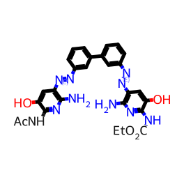 CCOC(=O)Nc1nc(N)c(/N=N/c2cccc(-c3cccc(/N=N/c4cc(O)c(NC(C)=O)nc4N)c3)c2)cc1O